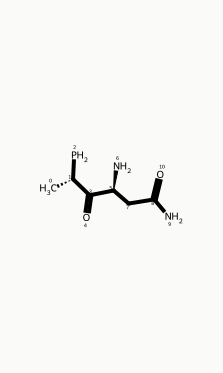 C[C@H](P)C(=O)[C@@H](N)CC(N)=O